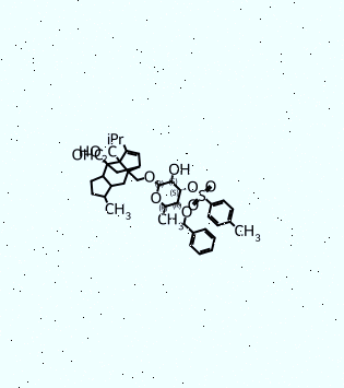 Cc1ccc(S(=O)(=O)O[C@H]2[C@H](O)[C@H](OCC34CC5C(C)CCC5C5(C=O)CC3C=C(C(C)C)C54C(=O)O)O[C@H](C)[C@H]2OCc2ccccc2)cc1